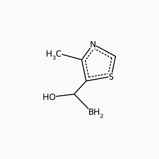 BC(O)c1scnc1C